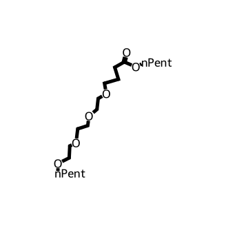 CCCCCOCCOCCOCCOCCCC(=O)OCCCCC